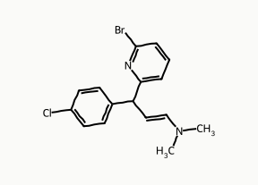 CN(C)/C=C/C(c1ccc(Cl)cc1)c1cccc(Br)n1